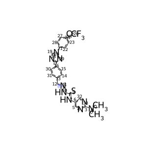 CN(C)c1ncc(NC(=S)N/N=C/c2ccc(-c3ncn(-c4ccc(OC(F)(F)F)cc4)n3)cc2)cn1